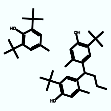 CCCC(c1cc(C(C)(C)C)c(O)cc1C)c1cc(C(C)(C)C)c(O)cc1C.Cc1cc(C(C)(C)C)c(O)c(C(C)(C)C)c1